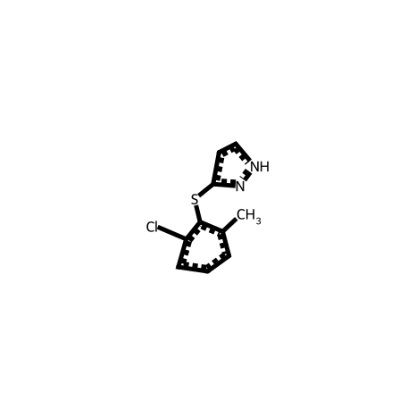 Cc1cccc(Cl)c1Sc1cc[nH]n1